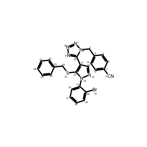 N#Cc1ccc(Cn2nnnc2-c2cnn(-c3ccccc3Br)c2SCc2ccccc2)cc1